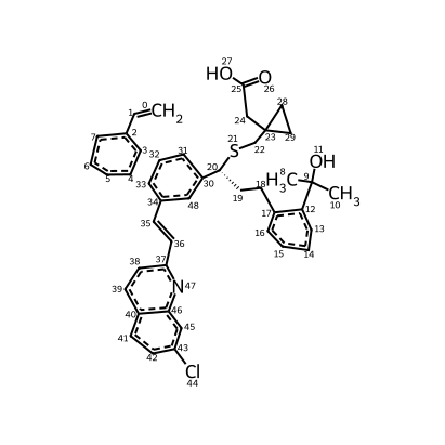 C=Cc1ccccc1.CC(C)(O)c1ccccc1CC[C@@H](SCC1(CC(=O)O)CC1)c1cccc(/C=C/c2ccc3ccc(Cl)cc3n2)c1